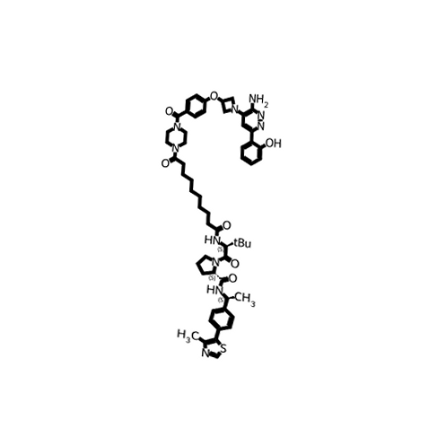 Cc1ncsc1-c1ccc([C@H](C)NC(=O)[C@@H]2CCCN2C(=O)[C@@H](NC(=O)CCCCCCCCC(=O)N2CCN(C(=O)c3ccc(OC4CN(c5cc(-c6ccccc6O)nnc5N)C4)cc3)CC2)C(C)(C)C)cc1